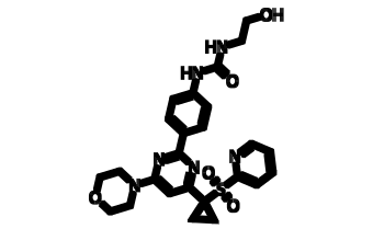 O=C(NCCO)Nc1ccc(-c2nc(N3CCOCC3)cc(C3(S(=O)(=O)c4ccccn4)CC3)n2)cc1